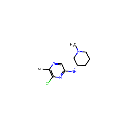 CN1CCC[C@H](Nc2cnc(C#N)c(Cl)n2)C1